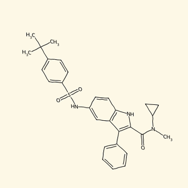 CN(C(=O)c1[nH]c2ccc(NS(=O)(=O)c3ccc(C(C)(C)C)cc3)cc2c1-c1ccccc1)C1CC1